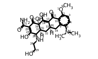 COc1ccc(N(C)C)c2c1C(=O)C1=C(O)[C@]3(O)C(=O)C(C(N)=O)=C(O)[C@H](NCCO)[C@@H]3C[C@@H]1C2